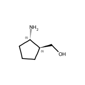 N[C@H]1CCC[C@@H]1CO